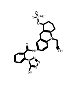 C#CCN1C2=C(Cc3cc(NC(=O)c4ccccc4-n4nnnc4S)ccc31)C(O[Cl+3]([O-])([O-])[O-])CCC2